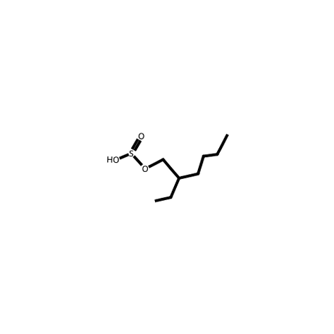 CCCCC(CC)COS(=O)O